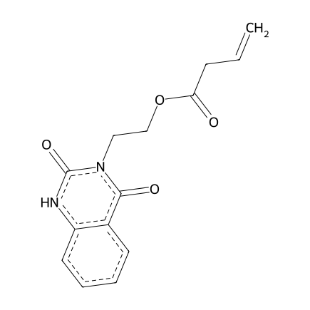 C=CCC(=O)OCCn1c(=O)[nH]c2ccccc2c1=O